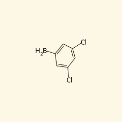 Bc1cc(Cl)cc(Cl)c1